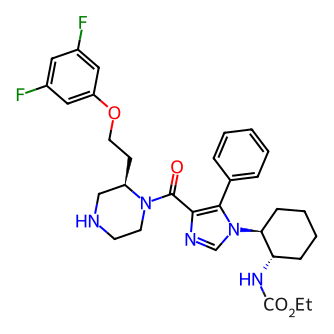 CCOC(=O)N[C@H]1CCCC[C@@H]1n1cnc(C(=O)N2CCNC[C@H]2CCOc2cc(F)cc(F)c2)c1-c1ccccc1